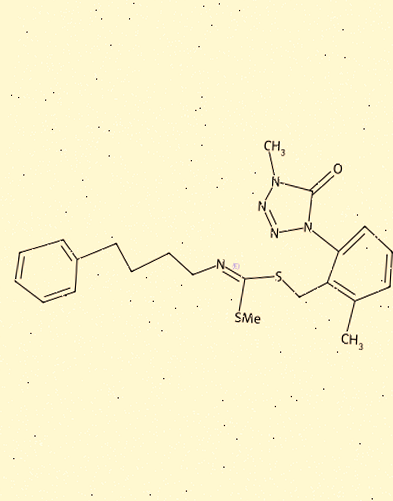 CS/C(=N\CCCCc1ccccc1)SCc1c(C)cccc1-n1nnn(C)c1=O